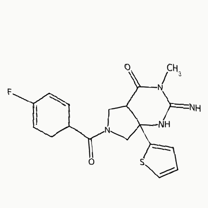 CN1C(=N)NC2(c3cccs3)CN(C(=O)C3C=CC(F)=CC3)CC2C1=O